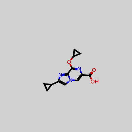 O=C(O)c1cn2cc(C3CC3)nc2c(OC2CC2)n1